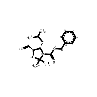 CC(C)C[C@H]1[C@H](C=O)OC(C)(C)N1C(=O)OCc1ccccc1